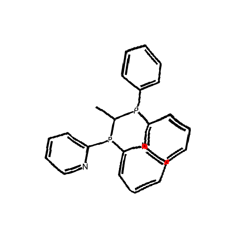 CC(P(c1ccccc1)c1ccccc1)P(c1ccccn1)c1ccccn1